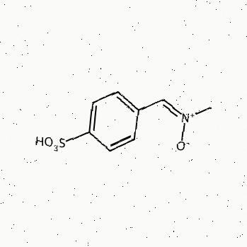 C[N+]([O-])=Cc1ccc(S(=O)(=O)O)cc1